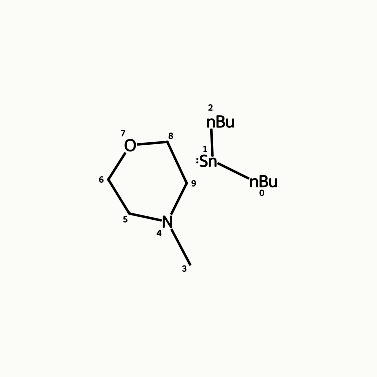 CCC[CH2][Sn][CH2]CCC.CN1CCOCC1